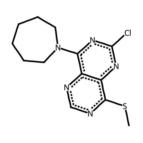 CSc1ncnc2c(N3CCCCCC3)nc(Cl)nc12